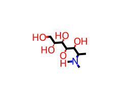 CC([C@H](O)[C@@H](O)[C@H](O)[C@H](O)CO)N(C)C